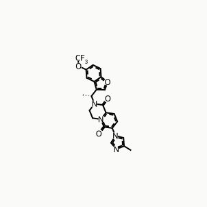 Cc1cn(-c2ccc3n(c2=O)CCN([C@H](C)c2coc4ccc(OC(F)(F)F)cc24)C3=O)cn1